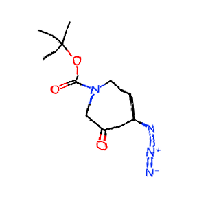 CC(C)(C)OC(=O)N1CC[C@@H](N=[N+]=[N-])C(=O)C1